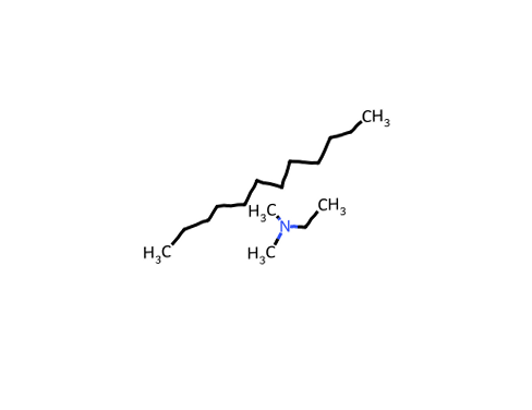 CCCCCCCCCCCC.CCN(C)C